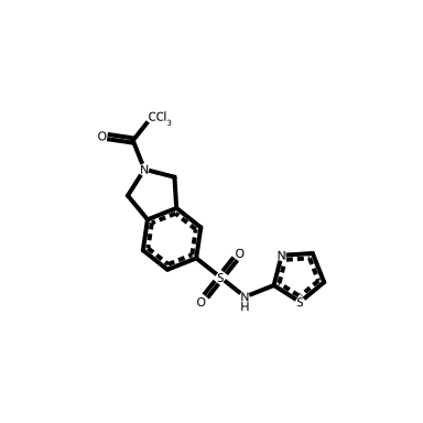 O=C(N1Cc2ccc(S(=O)(=O)Nc3nccs3)cc2C1)C(Cl)(Cl)Cl